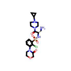 NC[C@H](NS(=O)(=O)c1cccc(N2CCOCC2=O)c1Cl)C(=O)N1CCN(C2CC2)CC1